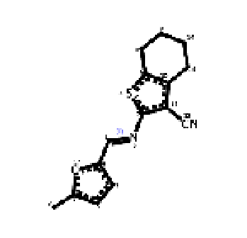 Cc1ccc(/C=N/c2sc3c(c2C#N)CCCC3)o1